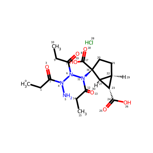 CCC(=O)N(N)N(C(=O)CC)N(C(=O)CC)[C@@]1(C(=O)O)CC[C@H]2[C@H](C(=O)O)[C@H]21.Cl